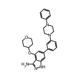 Nc1n[nH]c2cc(-c3cc[c]c(N4CCN(c5ccccc5)CC4)c3)cc(OC3CCOCC3)c12